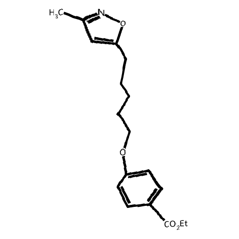 CCOC(=O)c1ccc(OCCCCCc2cc(C)no2)cc1